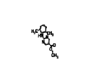 CCOC(=O)c1cnc(Nc2c(C)cccc2C)nc1